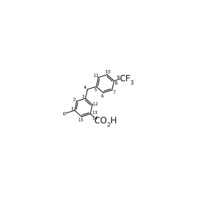 Cc1cc(Cc2ccc(C(F)(F)F)cc2)cc(C(=O)O)c1